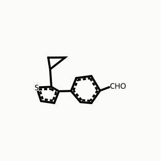 O=Cc1ccc(-c2ccsc2C2CC2)cc1